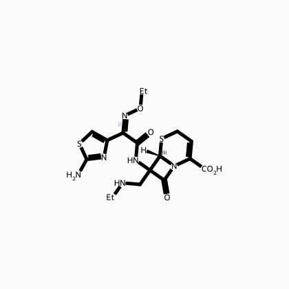 CCNCC1(NC(=O)/C(=N\OCC)c2csc(N)n2)C(=O)N2C(C(=O)O)=CCS[C@H]21